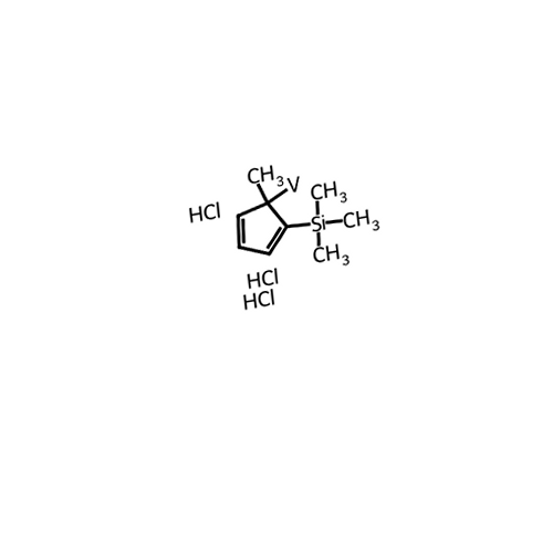 C[C]1([V])C=CC=C1[Si](C)(C)C.Cl.Cl.Cl